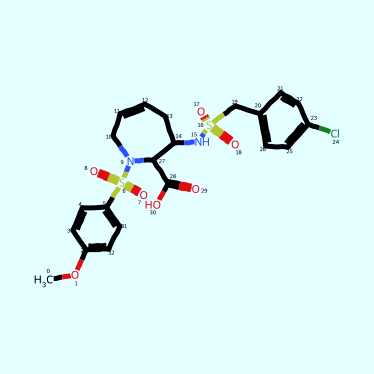 COc1ccc(S(=O)(=O)N2CC=CCC(NS(=O)(=O)Cc3ccc(Cl)cc3)C2C(=O)O)cc1